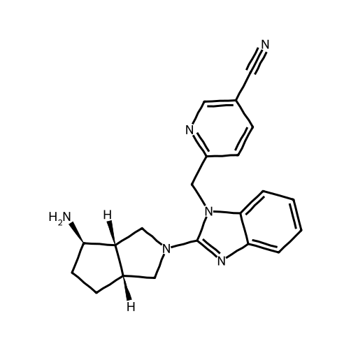 N#Cc1ccc(Cn2c(N3C[C@@H]4CC[C@@H](N)[C@@H]4C3)nc3ccccc32)nc1